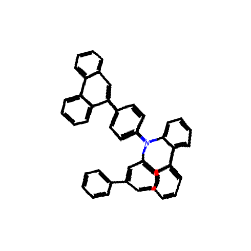 c1ccc(-c2cccc(N(c3ccc(-c4cc5ccccc5c5ccccc45)cc3)c3ccccc3-c3ccccc3)c2)cc1